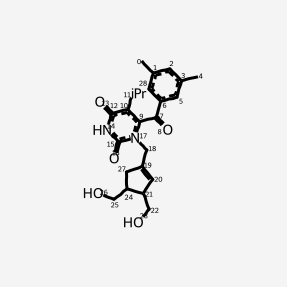 Cc1cc(C)cc(C(=O)c2c(C(C)C)c(=O)[nH]c(=O)n2CC2=CC(CO)C(CO)C2)c1